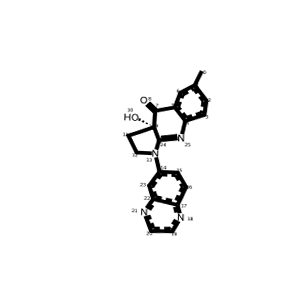 Cc1ccc2c(c1)C(=O)[C@]1(O)CCN(c3ccc4nccnc4c3)C1=N2